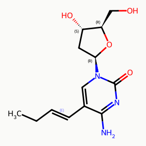 CC/C=C/c1cn([C@H]2C[C@H](O)[C@@H](CO)O2)c(=O)nc1N